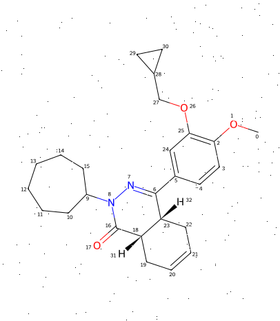 COc1ccc(C2=NN(C3CCCCCC3)C(=O)[C@H]3CC=CC[C@@H]23)cc1OCC1CC1